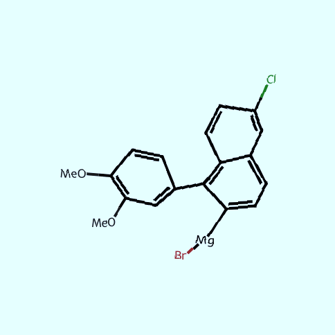 COc1ccc(-c2[c]([Mg][Br])ccc3cc(Cl)ccc23)cc1OC